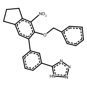 O=[N+]([O-])c1c2c(cc(-c3cccc(-c4nnn[nH]4)c3)c1OCc1ccccc1)CCC2